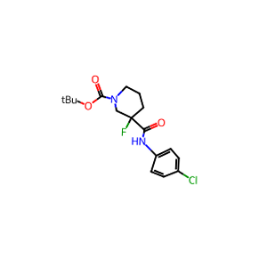 CC(C)(C)OC(=O)N1CCCC(F)(C(=O)Nc2ccc(Cl)cc2)C1